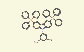 FC(F)(F)c1cc(-n2c3ccc(S(c4ccccc4)(c4ccccc4)c4ccccc4)cc3c3cc(S(c4ccccc4)(c4ccccc4)c4ccccc4)ccc32)cc(C(F)(F)F)c1